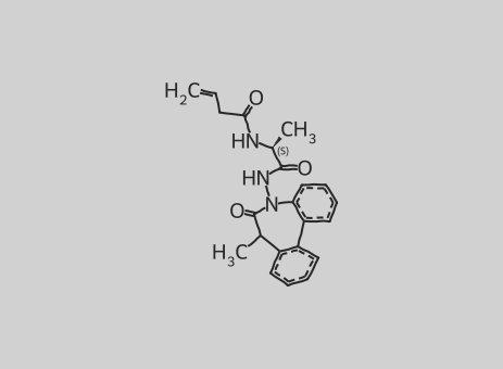 C=CCC(=O)N[C@@H](C)C(=O)NN1C(=O)C(C)c2ccccc2-c2ccccc21